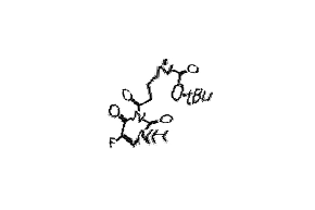 CN(CCC(=O)n1c(=O)[nH]cc(F)c1=O)C(=O)OC(C)(C)C